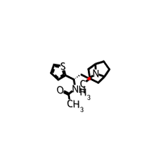 CC(=O)N[C@@H](CCN1C2CCC1CC(C)C2)c1cccs1